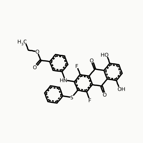 CCOC(=O)c1cccc(Nc2c(F)c3c(c(F)c2Sc2ccccc2)C(=O)c2c(O)ccc(O)c2C3=O)c1